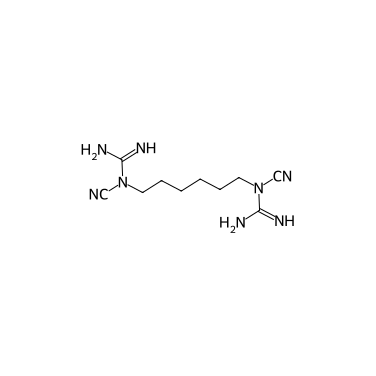 N#CN(CCCCCCN(C#N)C(=N)N)C(=N)N